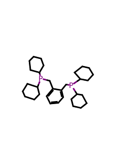 c1ccc(CP(C2CCCCC2)C2CCCCC2)c(CP(C2CCCCC2)C2CCCCC2)c1